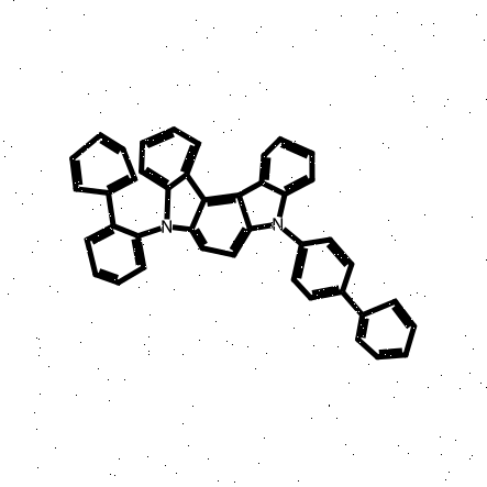 c1ccc(-c2ccc(-n3c4ccccc4c4c5c6ccccc6n(-c6ccccc6-c6ccccc6)c5ccc43)cc2)cc1